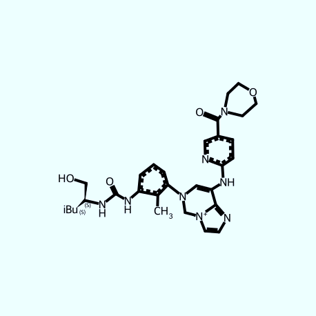 CC[C@H](C)[C@@H](CO)NC(=O)Nc1cccc(N2C=C(Nc3ccc(C(=O)N4CCOCC4)cn3)C3=NC=C[N+]3C2)c1C